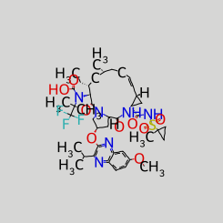 CC[C@@H]1C[C@H](C)CC/C=C\[C@@H]2C[C@@]2(C(=O)NS(=O)(=O)C2(C)CC2)NC(=O)[C@@H]2C[C@@H](Oc3nc4cc(OC)ccc4nc3C(C)C)CN2C(=O)[C@H]1N(C(=O)O)C(C)(C)C(F)(F)F